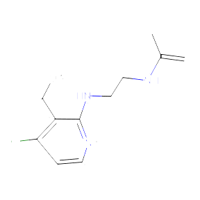 C=C(C)NCCNc1nccc(Cl)c1COC(C)=O